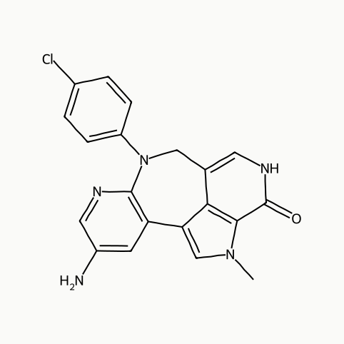 Cn1cc2c3c(c[nH]c(=O)c31)CN(c1ccc(Cl)cc1)c1ncc(N)cc1-2